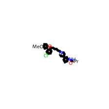 COc1ccc(OC(CCCCCN2CCC(c3cccc(NC(=O)C(C)C)c3)CC2)c2ccc(Cl)cc2)cc1